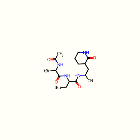 CC(C)(C)CC(NC(=O)C(NC(=O)C(F)(F)F)C(C)(C)C)C(=O)NC(C#N)CC1CCCNC1=O